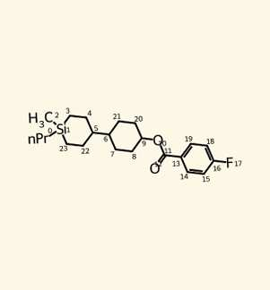 CCC[Si]1(C)CCC(C2CCC(OC(=O)c3ccc(F)cc3)CC2)CC1